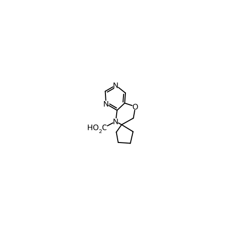 O=C(O)N1c2ncncc2OCC12CCCC2